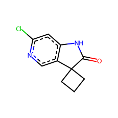 O=C1Nc2cc(Cl)ncc2C12CCC2